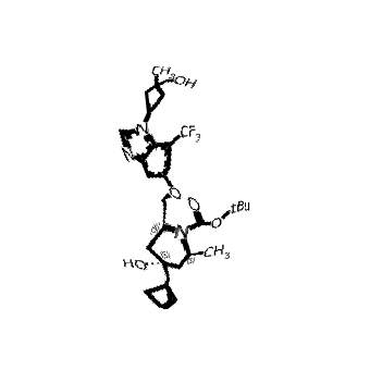 C[C@H]1C[C@@](O)(C23CC(C2)C3)C[C@@H](COc2cc(C(F)(F)F)c3c(c2)ncn3C2CC(C)(O)C2)N1C(=O)OC(C)(C)C